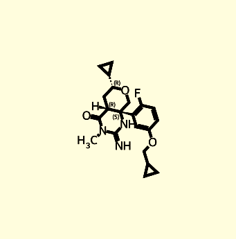 CN1C(=N)N[C@@]2(c3cc(OCC4CC4)ccc3F)CO[C@@H](C3CC3)C[C@H]2C1=O